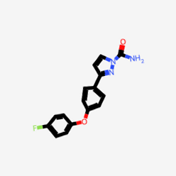 NC(=O)n1ccc(-c2ccc(Oc3ccc(F)cc3)cc2)n1